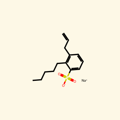 C=CCc1cccc(S(=O)(=O)[O-])c1CCCCC.[Na+]